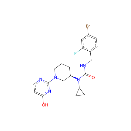 O=C(NCc1ccc(Br)cc1F)N(C1CC1)[C@@H]1CCCN(c2nccc(O)n2)C1